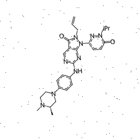 C=CCn1c(=O)c2cnc(Nc3ccc(N4CCN(C)[C@H](C)C4)cc3)nc2n1-c1ccc(=O)n(C(C)C)n1